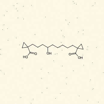 O=C(O)C1(CCCCCC(O)CCCC2(C(=O)O)CC2)CC1